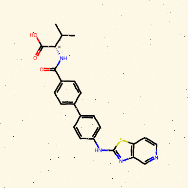 CC(C)[C@H](NC(=O)c1ccc(-c2ccc(Nc3nc4cnccc4s3)cc2)cc1)C(=O)O